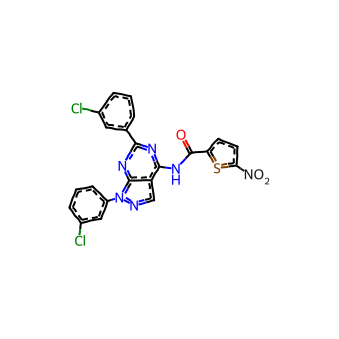 O=C(Nc1nc(-c2cccc(Cl)c2)nc2c1cnn2-c1cccc(Cl)c1)c1ccc([N+](=O)[O-])s1